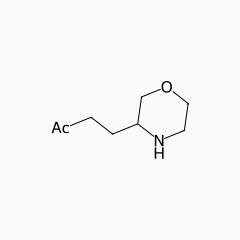 CC(=O)CCC1COCCN1